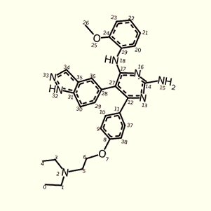 CCN(CC)CCOc1ccc(-c2nc(N)nc(Nc3ccccc3OC)c2-c2ccc3[nH]ncc3c2)cc1